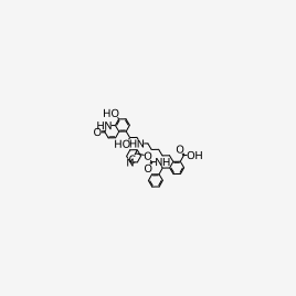 O=C(NC(c1ccccc1)c1cccc(C(=O)O)c1CCCCCNCC(O)c1ccc(O)c2[nH]c(=O)ccc12)OC1CN2CCC1CC2